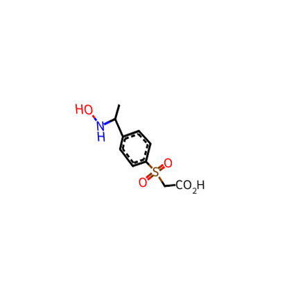 CC(NO)c1ccc(S(=O)(=O)CC(=O)O)cc1